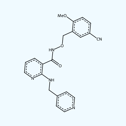 COc1ccc(C#N)cc1CONC(=O)c1cccnc1NCc1ccncc1